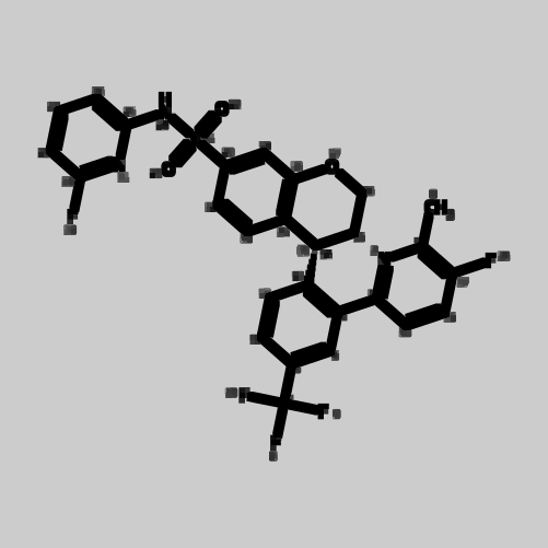 Cc1nc(-c2cc(C(F)(F)F)ccc2[C@H]2CCOc3cc(S(=O)(=O)Nc4cccc(F)n4)ccc32)ccc1F